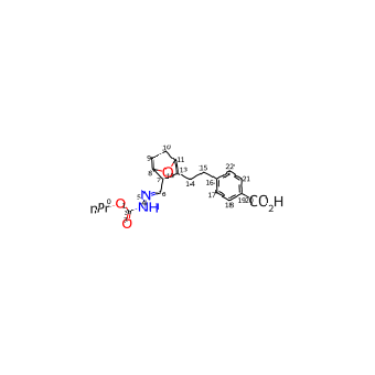 CCCOC(=O)NN=CC1C2CCC(O2)C1CCc1ccc(C(=O)O)cc1